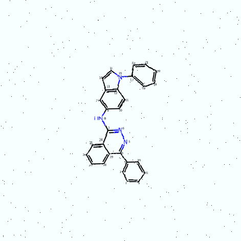 c1ccc(-c2nnc(Nc3ccc4c(ccn4-c4ccccc4)c3)c3ccccc23)cc1